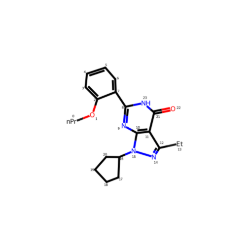 CCCOc1ccccc1-c1nc2c(c(CC)nn2C2CCCC2)c(=O)[nH]1